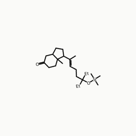 CCC(CC)(CCC=C(C)C1CCC2CC(=O)CCC21C)O[Si](C)(C)C